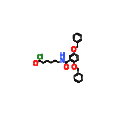 O=C(Cl)CCCCCNC(=O)c1cc(OCc2ccccc2)ccc1OCc1ccccc1